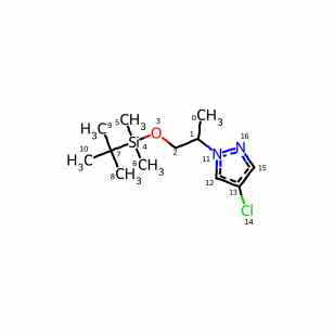 CC(CO[Si](C)(C)C(C)(C)C)n1cc(Cl)cn1